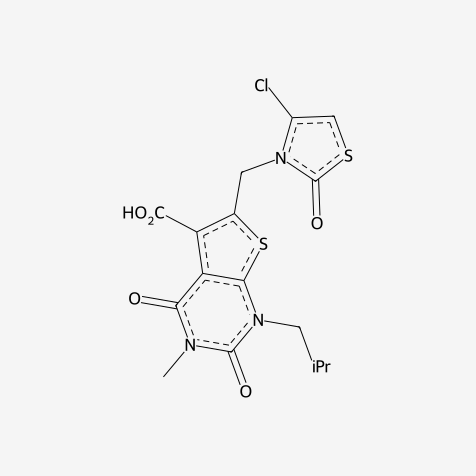 CC(C)Cn1c(=O)n(C)c(=O)c2c(C(=O)O)c(Cn3c(Cl)csc3=O)sc21